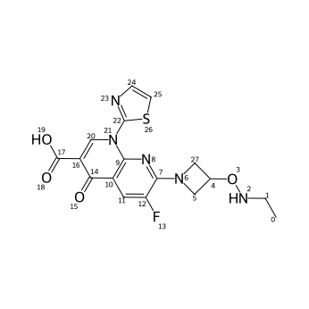 CCNOC1CN(c2nc3c(cc2F)c(=O)c(C(=O)O)cn3-c2nccs2)C1